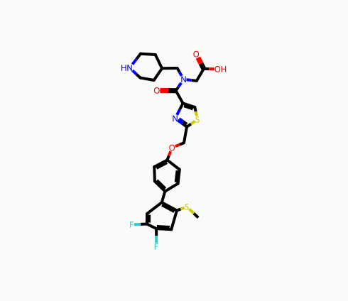 CSc1cc(F)c(F)cc1-c1ccc(OCc2nc(C(=O)N(CC(=O)O)CC3CCNCC3)cs2)cc1